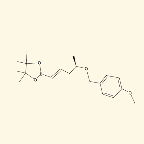 COc1ccc(CO[C@H](C)C/C=C/B2OC(C)(C)C(C)(C)O2)cc1